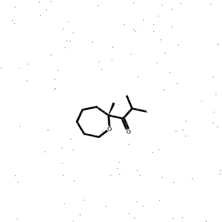 CC(C)C(=O)[C@@]1(C)CCCCCO1